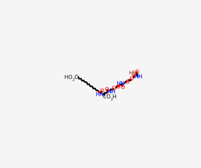 C[C@H](NC(=O)COCCOCCNC(=O)COCCOCCNC(=O)CC[C@H](NC(=O)CCCCCCCCCCCCCCCCC(=O)O)C(=O)O)C(=O)S